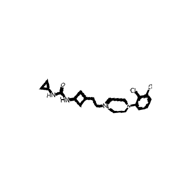 O=C(NC1CC1)NC1CC(CCN2CCN(c3cccc(Cl)c3Cl)CC2)C1